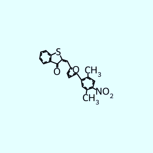 Cc1cc([N+](=O)[O-])c(C)cc1-c1ccc(C=C2Sc3ccccc3C2=O)o1